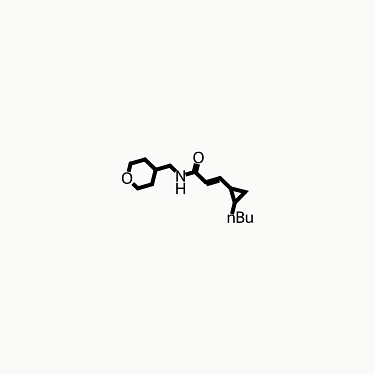 CCCCC1CC1/C=C/C(=O)NCC1CCOCC1